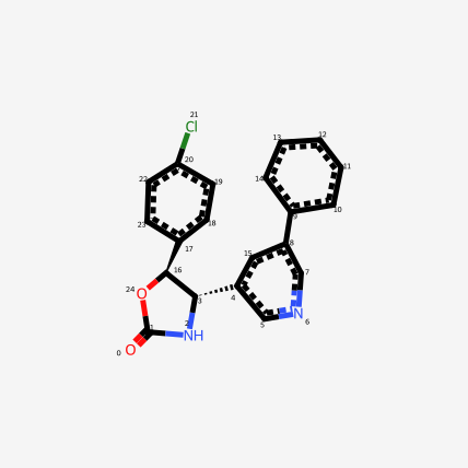 O=C1N[C@@H](c2cncc(-c3ccccc3)c2)[C@H](c2ccc(Cl)cc2)O1